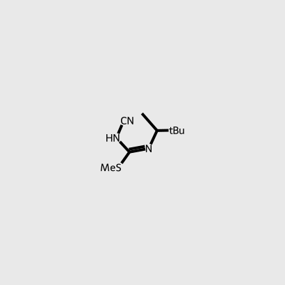 CSC(=NC(C)C(C)(C)C)NC#N